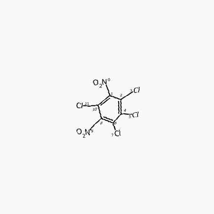 O=[N+]([O-])c1c(Cl)c(Cl)c(Cl)c([N+](=O)[O-])c1Cl